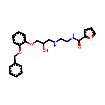 O=C(NCCNCC(O)COc1ccccc1OCc1ccccc1)c1ccco1